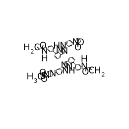 C=CC(=O)Nc1cccc(-c2cccc3cnc(Nc4ccc(N5CCN(S(C)(=O)=O)CC5)cc4)nc23)c1.C=CC(=O)Nc1cccc(-c2cccc3cnc(Nc4ccc(N5CCOC5=O)cc4)nc23)c1